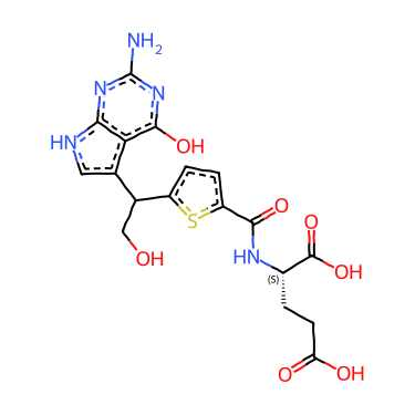 Nc1nc(O)c2c(C(CO)c3ccc(C(=O)N[C@@H](CCC(=O)O)C(=O)O)s3)c[nH]c2n1